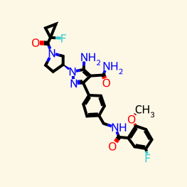 COc1ccc(F)cc1C(=O)NCc1ccc(-c2nn([C@H]3CCN(C(=O)C4(F)CC4)C3)c(N)c2C(N)=O)cc1